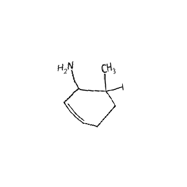 CC1(I)CCC=CC1N